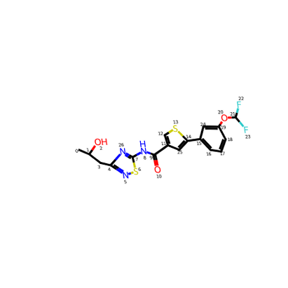 CC(O)Cc1nsc(NC(=O)c2csc(-c3cccc(OC(F)F)c3)c2)n1